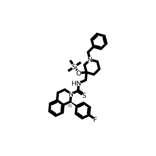 C[Si](C)(C)OC1(CNC(=S)N2CCc3ccccc3[C@@H]2c2ccc(F)cc2)CCCN(Cc2ccccc2)C1